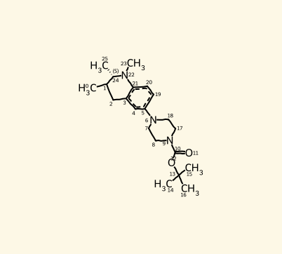 CC1Cc2cc(N3CCN(C(=O)OC(C)(C)C)CC3)ccc2N(C)[C@H]1C